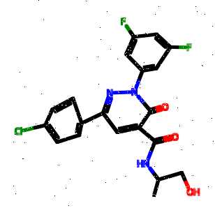 CC(CO)NC(=O)c1cc(-c2ccc(Cl)cc2)nn(-c2cc(F)cc(F)c2)c1=O